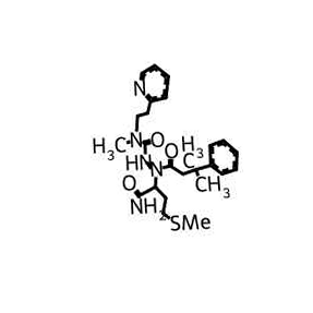 CSCCC(C(N)=O)N(NC(=O)N(C)CCc1ccccn1)C(=O)CC(C)(C)c1ccccc1